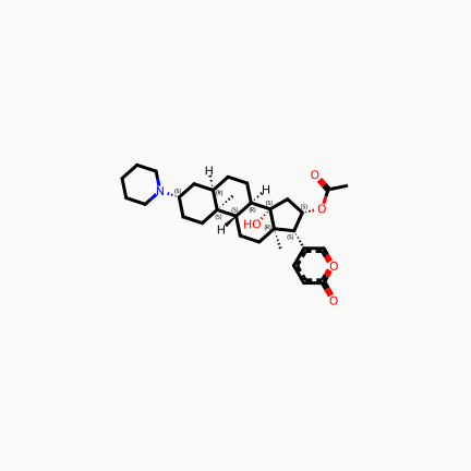 CC(=O)O[C@H]1C[C@]2(O)[C@@H]3CC[C@@H]4C[C@@H](N5CCCCC5)CC[C@]4(C)[C@H]3CC[C@]2(C)[C@H]1c1ccc(=O)oc1